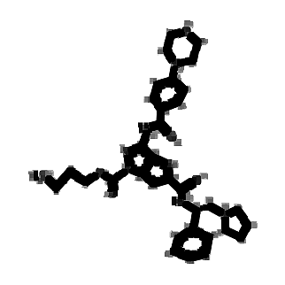 CCCCOC(=O)n1nc(NC(=O)c2ccc(N3CCOCC3)cc2)c2sc(C(=O)N[C@H](CN3CCCC3)c3ccccc3)cc21